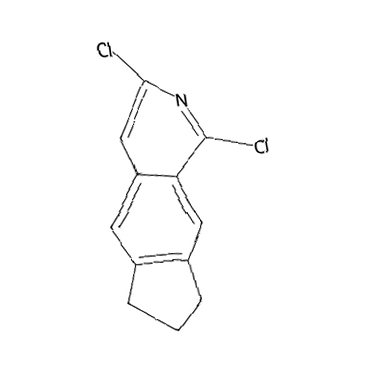 Clc1cc2cc3c(cc2c(Cl)n1)CCC3